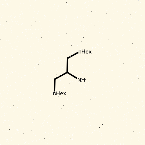 CCCCCCCC([NH])CCCCCCC